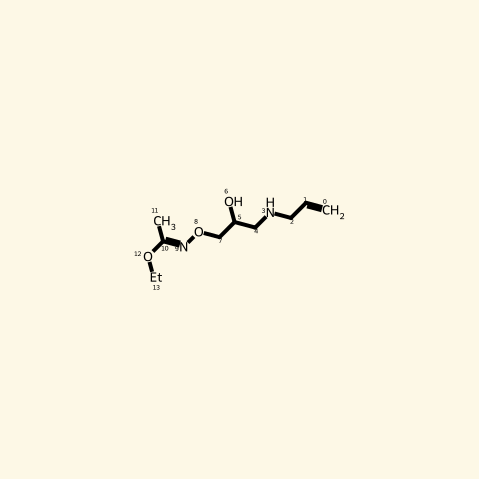 C=CCNCC(O)CON=C(C)OCC